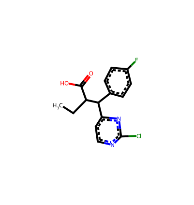 CCC(C(=O)O)C(c1ccc(F)cc1)c1ccnc(Cl)n1